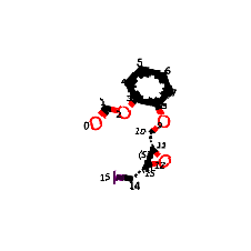 O=COc1ccccc1OC[C@@H]1O[C@@H]1CI